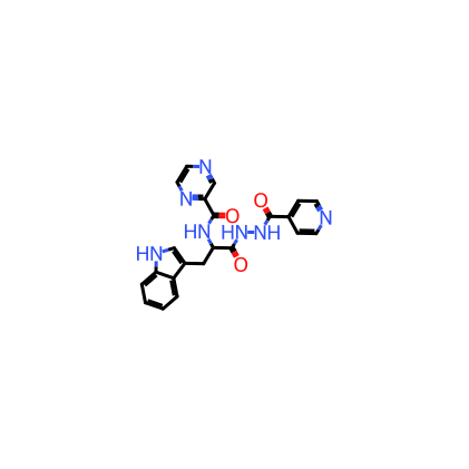 O=C(NNC(=O)C(Cc1c[nH]c2ccccc12)NC(=O)c1cnccn1)c1ccncc1